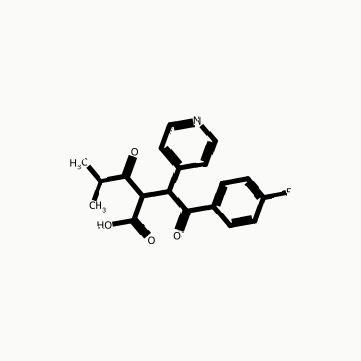 CC(C)C(=O)C(C(=O)O)C(C(=O)c1ccc(F)cc1)c1ccncc1